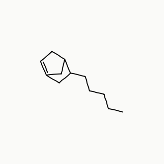 CCCCCC1CC2=CCC1C2